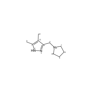 Cc1[nH]nc(CN2CCCC2)c1C